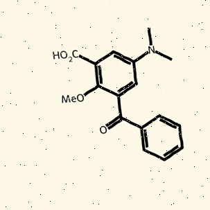 COc1c(C(=O)O)cc(N(C)C)cc1C(=O)c1ccccc1